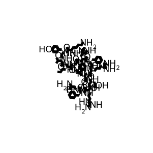 CCCC[C@H](NC(=O)[C@@H](NC(=O)[C@H](Cc1ccc(O)cc1)NC(=O)[C@@H](N)CCCCN)C(C)C)C(=O)NCC(=O)N[C@@H](Cc1c[nH]cn1)C(=O)N[C@H](Cc1ccccc1)C(=O)N[C@@H](CCCNC(=N)N)C(=O)N[C@@H](Cc1c[nH]c2ccccc12)C(=O)N[C@@H](CC(=O)O)C(=O)N[C@@H](CCCNC(=N)N)C(=O)N[C@@H](Cc1ccccc1)C(=O)NCC(N)=O